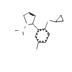 CC(C)(C)[S@+]([O-])N1CC=CC1c1cc([N+](=O)[O-])ccc1SC1CC1